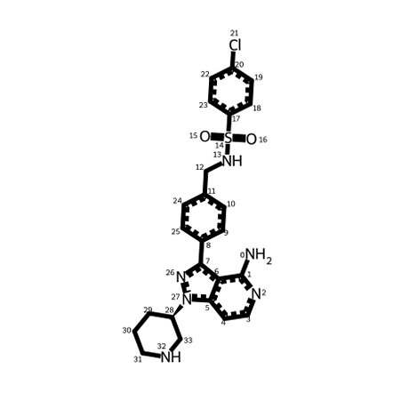 Nc1nccc2c1c(-c1ccc(CNS(=O)(=O)c3ccc(Cl)cc3)cc1)nn2[C@@H]1CCCNC1